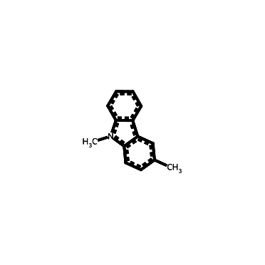 Cc1ccc2c(c1)c1ccccc1n2C